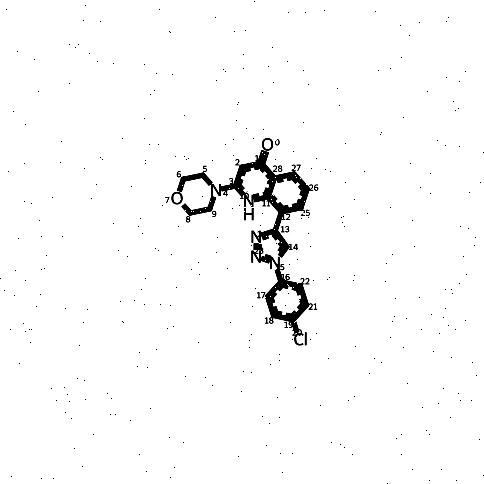 O=c1cc(N2CCOCC2)[nH]c2c(-c3cn(-c4ccc(Cl)cc4)nn3)cccc12